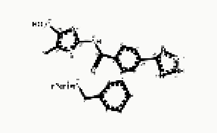 CCCCCNCc1ccccc1.Cc1nc(NC(=O)c2ccc(-c3nn[nH]n3)cc2)sc1C(=O)O